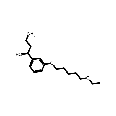 CCOCCCCCOc1cccc(C(O)CCN)c1